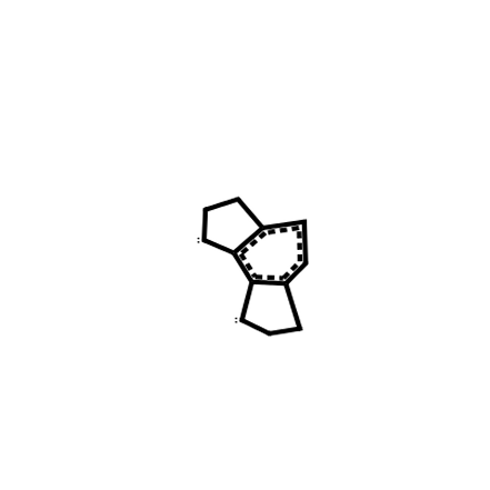 [C]1CCc2ccc3c(c21)[C]CC3